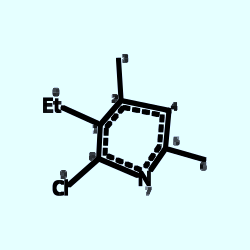 CCc1c(C)cc(C)nc1Cl